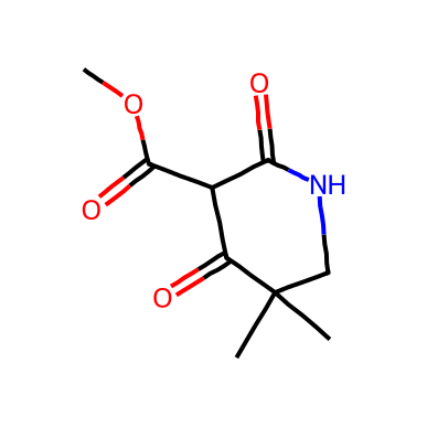 COC(=O)C1C(=O)NCC(C)(C)C1=O